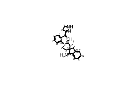 C=C(C1=NNCC1)c1ccccc1N1CCC2(CC1)Cc1ccccc1[C@H]2N